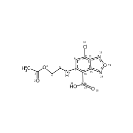 CC(=O)OCCNc1cc(Cl)c2nonc2c1[N+](=O)O